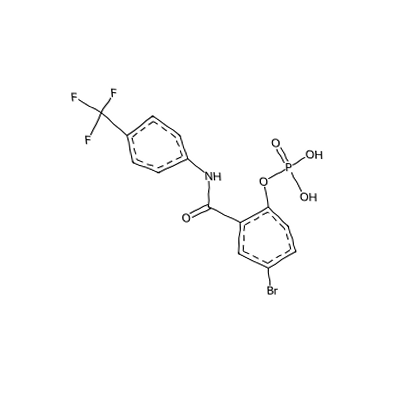 O=C(Nc1ccc(C(F)(F)F)cc1)c1cc(Br)ccc1OP(=O)(O)O